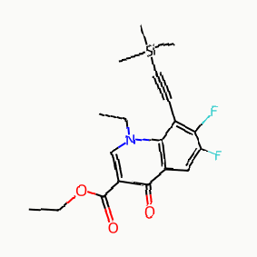 CCOC(=O)c1cn(CC)c2c(C#C[Si](C)(C)C)c(F)c(F)cc2c1=O